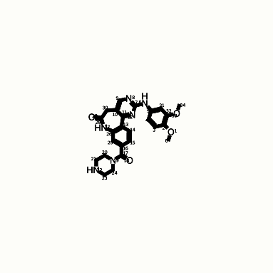 COc1ccc(Nc2ncc3c(n2)-c2ccc(C(=O)N4CCNCC4)cc2NC(=O)C3)cc1OC